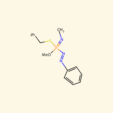 CN=P(N=Nc1ccccc1)(OC)SCC(C)C